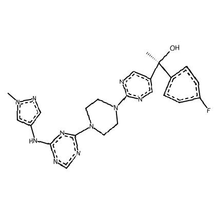 Cn1cc(Nc2ncnc(N3CCN(c4ncc([C@@](C)(O)c5ccc(F)cc5)cn4)CC3)n2)cn1